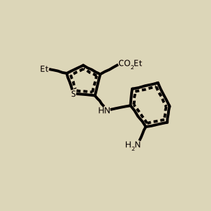 CCOC(=O)c1cc(CC)sc1Nc1ccccc1N